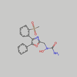 CS(=O)(=O)c1ccccc1-c1nc(CN(O)C(N)=O)oc1-c1ccccc1